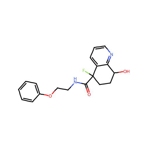 O=C(NCCOc1ccccc1)C1(F)CCC(O)c2ncccc21